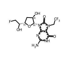 Nc1nc2c(c(=O)[nH]1)n(CC(F)(F)F)c(=O)n2[C@@H]1O[C@H](C(O)CF)C[C@H]1O